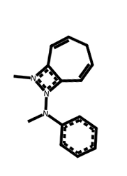 CN(c1ccccc1)n1c2c(n1C)C=CCC=C2